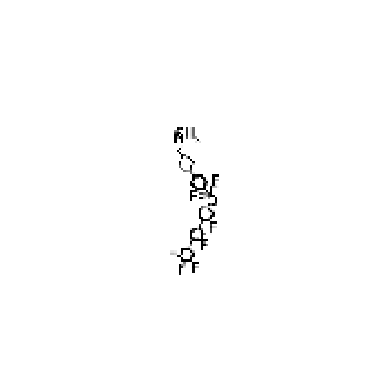 COCCC1CCC(c2cc(F)c(C(F)(F)Oc3ccc(-c4ccc(-c5cc(F)c(F)c(F)c5)c(F)c4)c(F)c3)c(F)c2)CC1